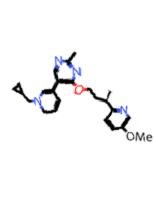 COc1ccc([C@H](C)CCOc2nc(C)ncc2C2=CN(CC3CC3)CC=C2)nc1